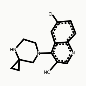 N#Cc1cnc2ccc(Cl)cc2c1N1CCNC2(CC2)C1